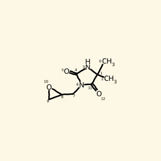 CC1(C)NC(=O)N(CC2CO2)C1=O